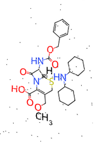 C1CCC(NC2CCCCC2)CC1.COCC1=C(C(=O)O)N2C(=O)C(NC(=O)OCc3ccccc3)[C@H]2SC1